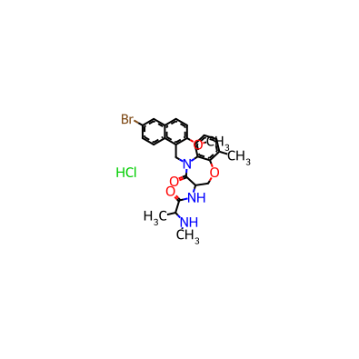 CNC(C)C(=O)NC1COc2c(C)cccc2N(Cc2c(OC)ccc3cc(Br)ccc23)C1=O.Cl